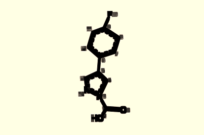 O=C(O)n1cc(-c2ccc(F)cc2)cn1